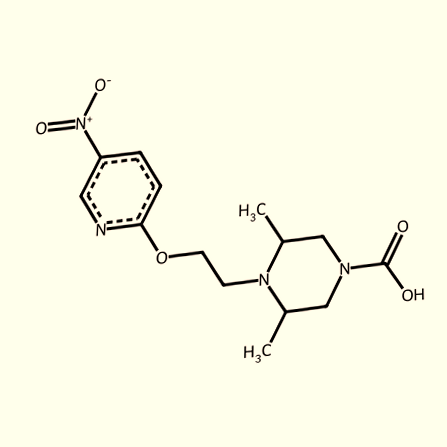 CC1CN(C(=O)O)CC(C)N1CCOc1ccc([N+](=O)[O-])cn1